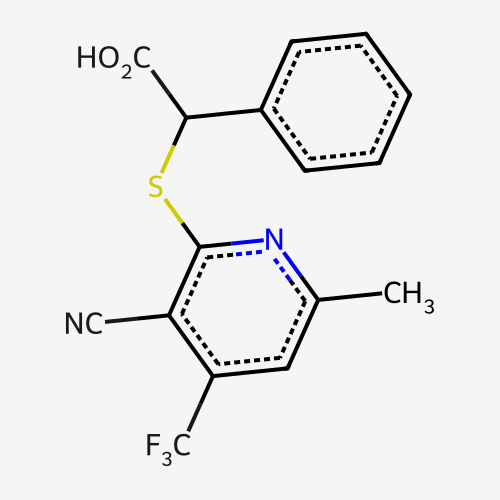 Cc1cc(C(F)(F)F)c(C#N)c(SC(C(=O)O)c2ccccc2)n1